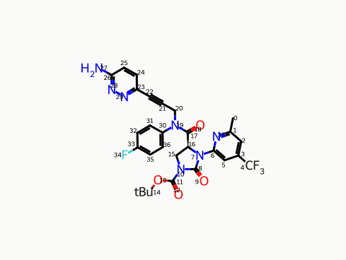 Cc1cc(C(F)(F)F)cc(N2C(=O)N(C(=O)OC(C)(C)C)C[C@H]2C(=O)N(CC#Cc2ccc(N)nn2)c2ccc(F)cc2)n1